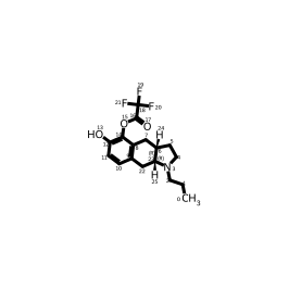 CCCN1CC[C@H]2Cc3c(ccc(O)c3OC(=O)C(F)(F)F)C[C@H]21